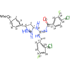 COc1ccc(C2CC(N/C(=N\C(=O)c3ccc(Cl)c(F)c3)NCc3ccc(F)cc3Cl)NN2)cc1